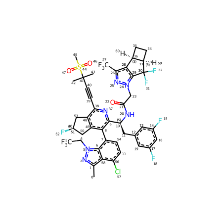 Cc1nn(CC(F)(F)F)c2c(-c3c([C@H](Cc4cc(F)cc(F)c4)NC(=O)Cn4nc(C(F)(F)F)c5c4C(F)(F)[C@@H]4CC[C@H]54)nc(C#CC(C)(C)S(C)(=O)=O)c4c3C[C@@H](F)C4)ccc(Cl)c12